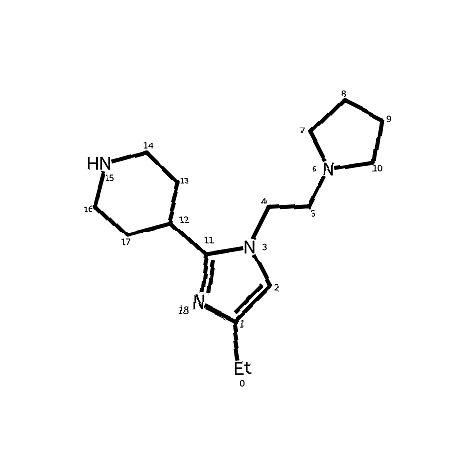 CCc1cn(CCN2CCCC2)c(C2CCNCC2)n1